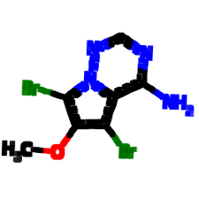 COc1c(Br)c2c(N)ncnn2c1Br